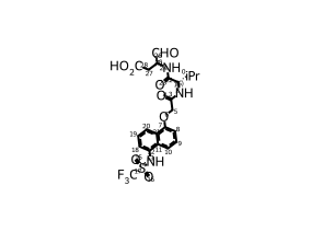 CC(C)[C@H](NC(=O)COc1cccc2c(NS(=O)(=O)C(F)(F)F)cccc12)C(=O)N[C@H](C=O)CC(=O)O